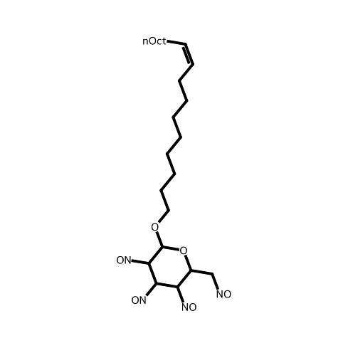 CCCCCCCC/C=C\CCCCCCCCOC1OC(CN=O)C(N=O)C(N=O)C1N=O